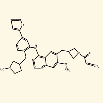 C=CC(=O)N1CC(Cc2cc3c(Nc4cc(-c5ccco5)ccc4OC4CCN(C)C4)ncnc3cc2OC)C1